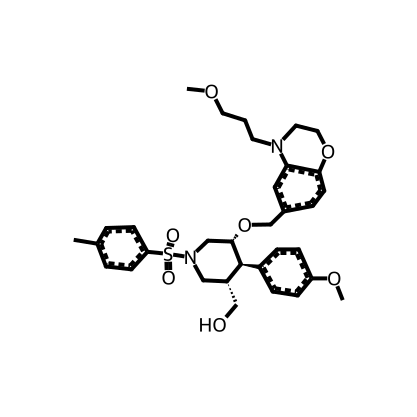 COCCCN1CCOc2ccc(CO[C@H]3CN(S(=O)(=O)c4ccc(C)cc4)C[C@@H](CO)[C@@H]3c3ccc(OC)cc3)cc21